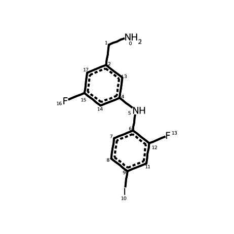 NCc1[c]c(Nc2ccc(I)cc2F)cc(F)c1